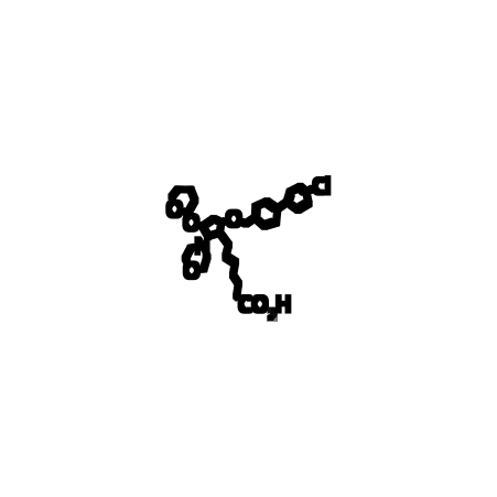 O=C(O)CCCC=CCC1C(OCc2ccc(-c3ccc(Cl)cc3)cc2)CC(OC2CCCCO2)C1N1CCOCC1